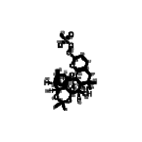 C=C1C(=O)[C@@]23[C@@H]4OC(C)(C)O[C@]25OC[C@]2(C6=C(CC[C@H](OOS(C)(=O)=O)O6)CC(C)(C)[C@H]2[C@@H]5O)[C@@H]3CC[C@@H]14